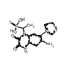 CC(n1c(=O)c(=O)[nH]c2cc([N+](=O)[O-])c(-n3ccnc3)cc21)P(=O)(O)O